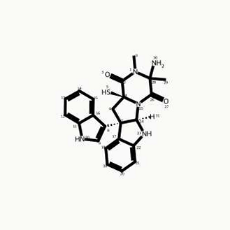 CN1C(=O)[C@@]2(S)C[C@]3(c4c[nH]c5ccccc45)c4ccccc4N[C@@H]3N2C(=O)C1(C)N